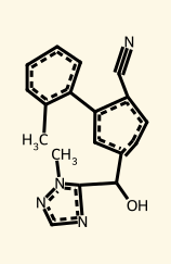 Cc1ccccc1-c1cc(C(O)c2ncnn2C)ccc1C#N